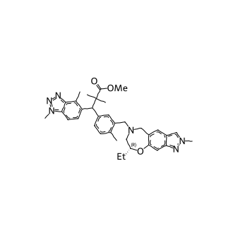 CC[C@@H]1CN(Cc2cc(C(c3ccc4c(nnn4C)c3C)C(C)(C)C(=O)OC)ccc2C)Cc2cc3cn(C)nc3cc2O1